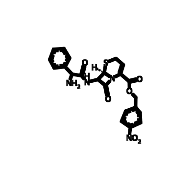 NC(C(=O)NC1C(=O)N2C(C(=O)OCc3ccc([N+](=O)[O-])cc3)=CCS[C@H]12)c1ccccc1